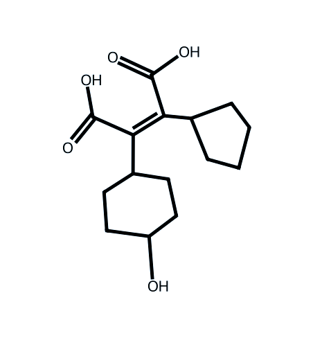 O=C(O)/C(=C(\C(=O)O)C1CCC(O)CC1)C1CCCC1